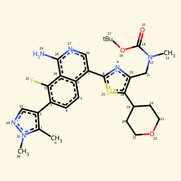 Cc1c(-c2ccc3c(-c4nc(CN(C)C(=O)OC(C)(C)C)c(C5CCOCC5)s4)cnc(N)c3c2F)cnn1C